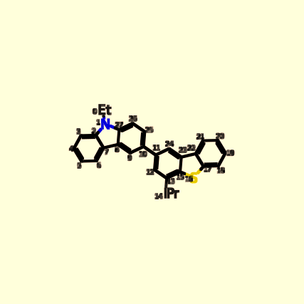 CCn1c2ccccc2c2cc(-c3cc(C(C)C)c4sc5ccccc5c4c3)ccc21